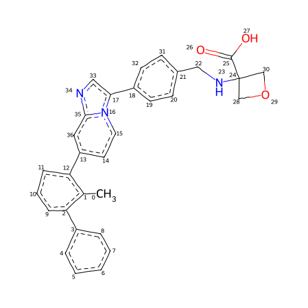 Cc1c(-c2ccccc2)cccc1-c1ccn2c(-c3ccc(CNC4(C(=O)O)COC4)cc3)cnc2c1